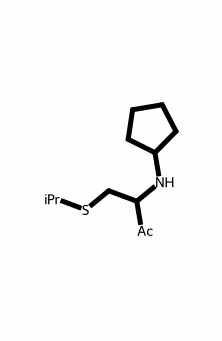 CC(=O)C(CSC(C)C)NC1CCCC1